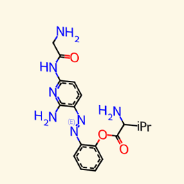 CC(C)C(N)C(=O)Oc1ccccc1/N=N/c1ccc(NC(=O)CN)nc1N